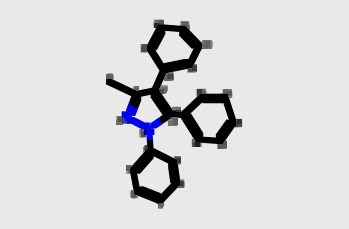 Cc1nn(-c2ccccc2)c(-c2ccccc2)c1-c1ccccc1